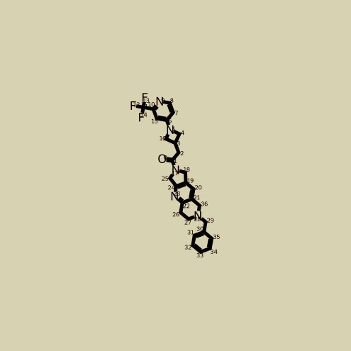 O=C(CC1CN(c2ccnc(C(F)(F)F)c2)C1)N1Cc2cc3c(nc2C1)CCN(Cc1ccccc1)C3